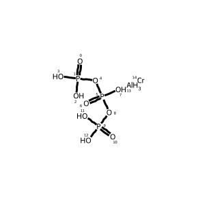 O=P(O)(O)OP(=O)(O)OP(=O)(O)O.[AlH3].[Cr]